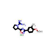 CCCCCCCCOc1ccc(-c2noc(C3CCCN3C(=N)N)n2)cc1C(F)(F)F.Cl